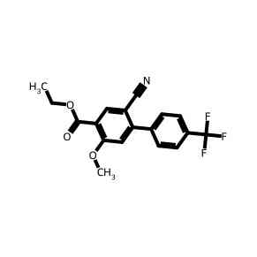 CCOC(=O)c1cc(C#N)c(-c2ccc(C(F)(F)F)cc2)cc1OC